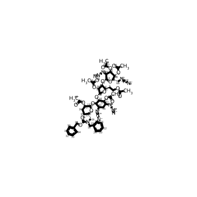 CC(=O)OCC[C@H]1O[C@@H](O[C@H]2[C@H](O[C@H]3O[C@H](CN(Cc4ccccc4)C(=O)OCc4ccccc4)CC[C@H]3OC(C)=O)C(N=[N+]=[N-])CC(N=[N+]=[N-])[C@@H]2OC(C)=O)[C@H](OC(C)=O)[C@@H]1O[C@H]1O[C@@H](CN=[N+]=[N-])[C@@H](OC(C)=O)[C@H](OC(C)=O)C1N=[N+]=[N-]